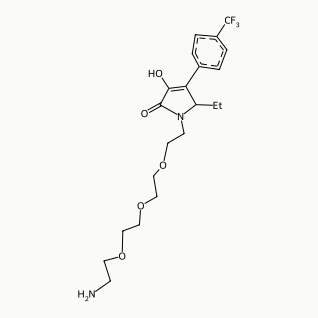 CCC1C(c2ccc(C(F)(F)F)cc2)=C(O)C(=O)N1CCOCCOCCOCCN